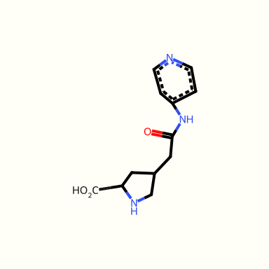 O=C(CC1CNC(C(=O)O)C1)Nc1ccncc1